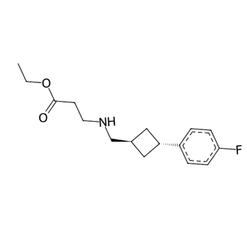 CCOC(=O)CCNC[C@H]1C[C@H](c2ccc(F)cc2)C1